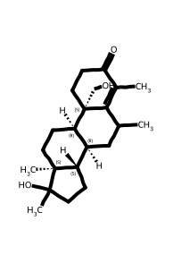 CC1=C2C(C)C[C@@H]3[C@@H](CC[C@@]4(C)[C@H]3CCC4(C)O)[C@@]2(CO)CCC1=O